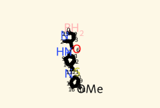 Bc1ccc(C(=O)Nc2ccc(-c3nc4ccc(OC)cc4s3)cc2)cn1